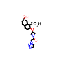 O=C(O)c1c(OC2CN(C(=O)Cn3ccnn3)C2)ccc2c1CB(O)CC2